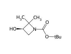 CC(C)(C)OC(=O)N1C[C@@H](O)C1(C)C